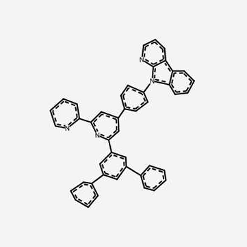 c1ccc(-c2cc(-c3ccccc3)cc(-c3cc(-c4ccc(-n5c6ccccc6c6cccnc65)cc4)cc(-c4ccccn4)n3)c2)cc1